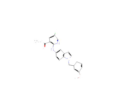 COC(=O)c1cc(Cl)cnc1Nc1ccc2c(ccn2CC2C=C(OC(F)(F)F)C=CC2)c1